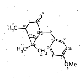 COc1ccc(CN2C(=O)CC(C)C3C2C3(C)C)cc1